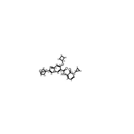 O=C(Nc1cccn(C2CC2)c1=O)c1cn2cc(C34COC(C3)C4)nc2cc1OC1CCC1